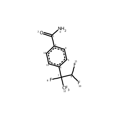 NC(=O)c1ccc(C(F)(C(F)F)C(F)(F)F)cc1